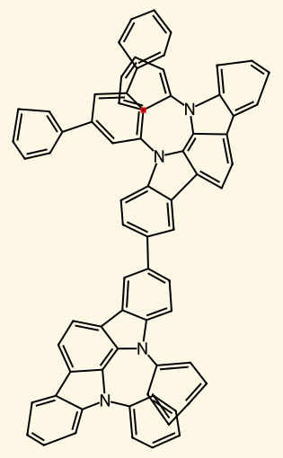 c1ccc(-c2cc(-c3ccccc3)cc(-n3c4ccc(-c5ccc6c(c5)c5ccc7c8ccccc8n(-c8ccccc8)c7c5n6-c5ccccc5)cc4c4ccc5c6ccccc6n(-c6ccccc6)c5c43)c2)cc1